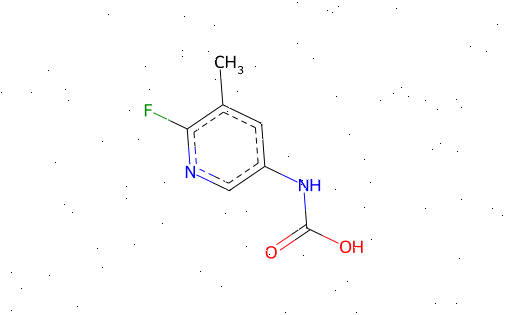 Cc1cc(NC(=O)O)cnc1F